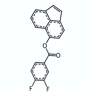 O=C(Oc1ccc2c3c(cccc13)C=C2)c1ccc(F)c(F)c1